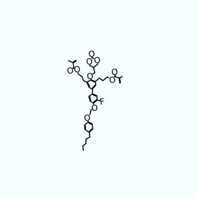 C=C(C)C(=O)OCCCc1cc(-c2ccc(OCCOc3ccc(CCCCC)cc3)c(F)c2)cc(CCCOC(=O)C(=C)C)c1OCC1COC(=O)OC1